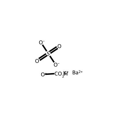 O=C([O-])O.O=S(=O)([O-])[O-].[Ba+2].[K+]